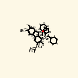 Cl.Cl.[CH2]=[Zr]([CH2]C1CCCCC1)([CH2]C1CCCCC1)([C]1=CC=CC1)[c]1c(C)c(C(C)(C)C)cc2c1Cc1cc(C)c(C(C)(C)C)cc1-2